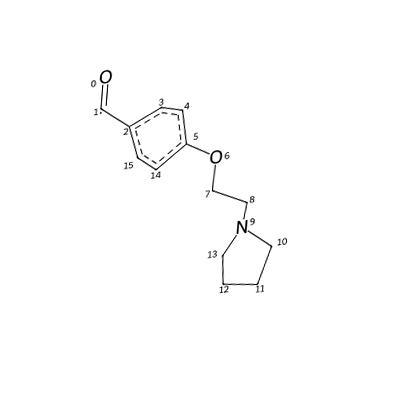 O=[C]c1ccc(OCCN2CCCC2)cc1